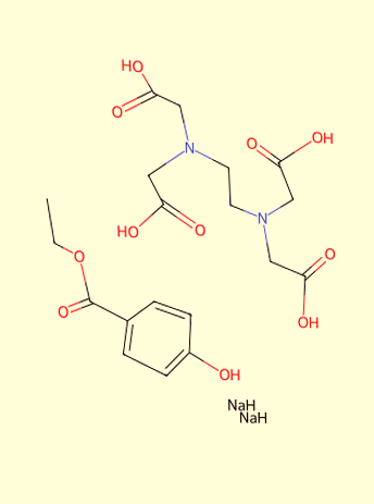 CCOC(=O)c1ccc(O)cc1.O=C(O)CN(CCN(CC(=O)O)CC(=O)O)CC(=O)O.[NaH].[NaH]